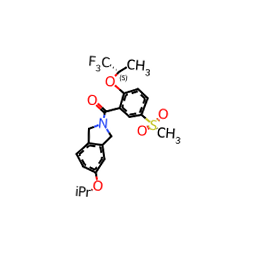 CC(C)Oc1ccc2c(c1)CN(C(=O)c1cc(S(C)(=O)=O)ccc1O[C@@H](C)C(F)(F)F)C2